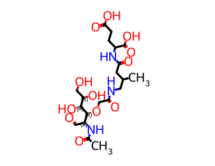 CC(=O)N[C@@H](C=O)[C@@H](OCC(=O)NCC(C)CC(=O)NC(CCC(=O)O)C(=O)O)[C@H](O)[C@H](O)CO